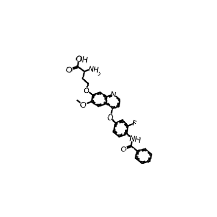 COc1cc2c(Oc3ccc(NC(=O)c4ccccc4)c(F)c3)ccnc2cc1OCCC(N)C(=O)O